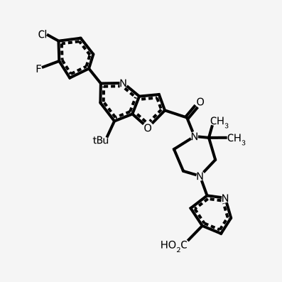 CC(C)(C)c1cc(-c2ccc(Cl)c(F)c2)nc2cc(C(=O)N3CCN(c4cc(C(=O)O)ccn4)CC3(C)C)oc12